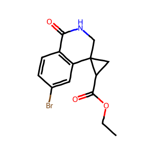 CCOC(=O)C1CC12CNC(=O)c1ccc(Br)cc12